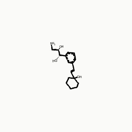 NC[C@H](O)[C@@H](O)c1cccc(C=CC2(O)CCCCC2)c1